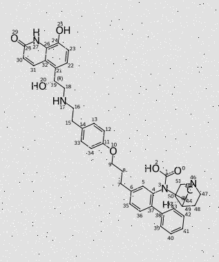 O=C(O)N(c1cc(CCCOc2ccc(CCNC[C@H](O)c3ccc(O)c4[nH]c(=O)ccc34)cc2)ccc1-c1ccccc1)[C@H]1CN2CCC1CC2